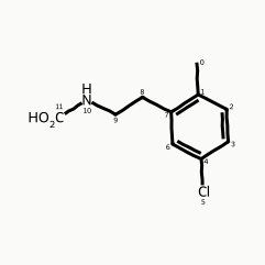 Cc1ccc(Cl)cc1CCNC(=O)O